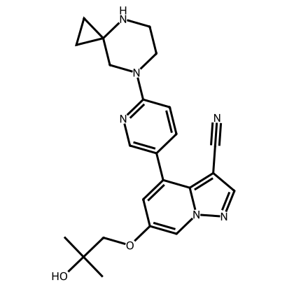 CC(C)(O)COc1cc(-c2ccc(N3CCNC4(CC4)C3)nc2)c2c(C#N)cnn2c1